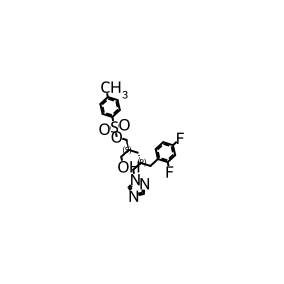 Cc1ccc(S(=O)(=O)OC[C@H](CO)C[C@H](Cc2ccc(F)cc2F)Cn2cncn2)cc1